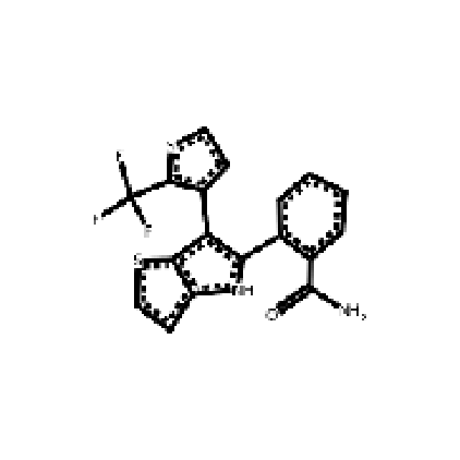 NC(=O)c1ccccc1-c1[nH]c2ccsc2c1-c1ccsc1C(F)(F)F